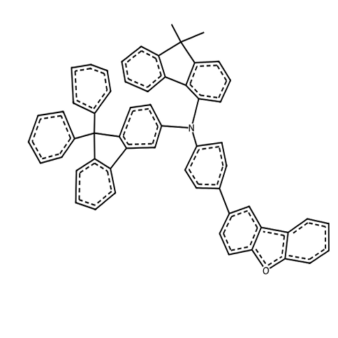 CC1(C)c2ccccc2-c2c(N(c3ccc(-c4ccc5oc6ccccc6c5c4)cc3)c3ccc4c(c3)-c3ccccc3C4(c3ccccc3)c3ccccc3)cccc21